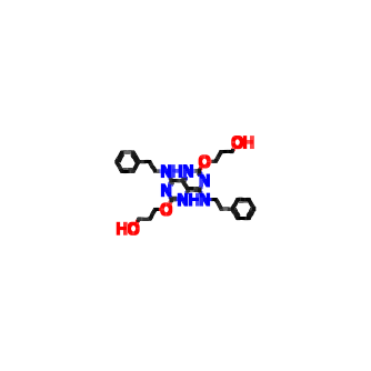 OCCCOc1nc(NCCc2ccccc2)c2nc(OCCCO)nc(NCCc3ccccc3)c2n1